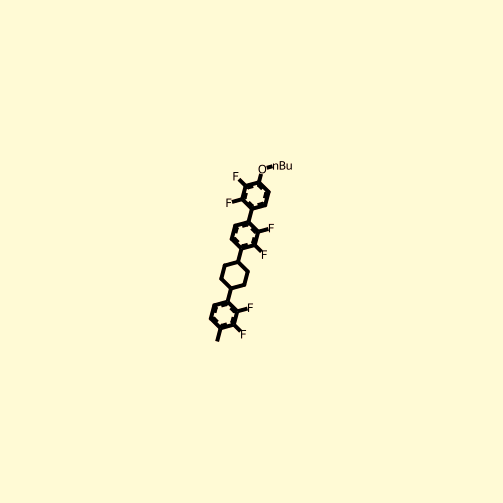 CCCCOc1ccc(-c2ccc(C3CCC(c4ccc(C)c(F)c4F)CC3)c(F)c2F)c(F)c1F